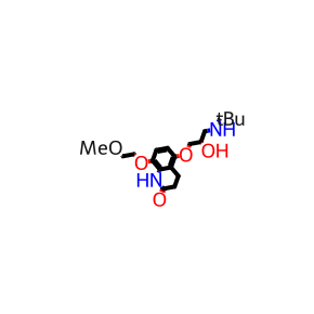 COCCOc1ccc(OCC(O)CNC(C)(C)C)c2c1NC(=O)CC2